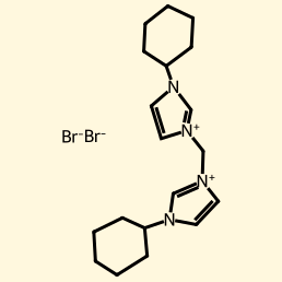 [Br-].[Br-].c1c[n+](C[n+]2ccn(C3CCCCC3)c2)cn1C1CCCCC1